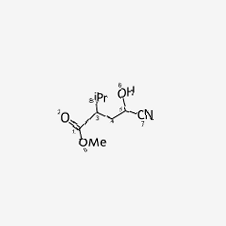 COC(=O)C(CC(O)C#N)C(C)C